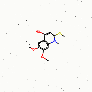 COc1cc2c(cc1OC)N(C)C(SC)C=C2O